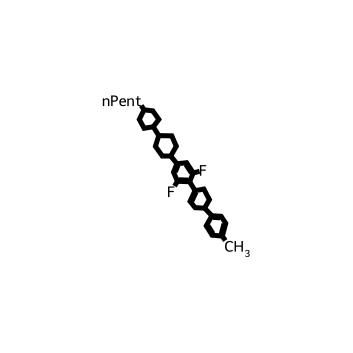 CCCCCC1CCC(C2CCC(c3cc(F)c(C4=CCC(c5ccc(C)cc5)CC4)c(F)c3)CC2)CC1